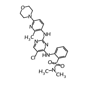 Cc1nc(N2CCOCC2)ccc1Nc1ncc(Cl)c(Nc2ccccc2S(=O)(=O)N(C)C)n1